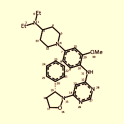 CCN(CC)C1CCN(c2ccc(Nc3cc(N4OCC[C@@H]4c4ccccc4)ncn3)c(OC)c2)CC1